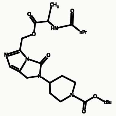 CCCC(=O)NC(C)C(=O)OCc1ncc2n1C(=O)N(C1CCN(C(=O)OC(C)(C)C)CC1)C2